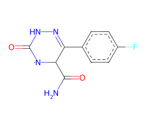 NC(=O)C1[N]C(=O)NN=C1c1ccc(F)cc1